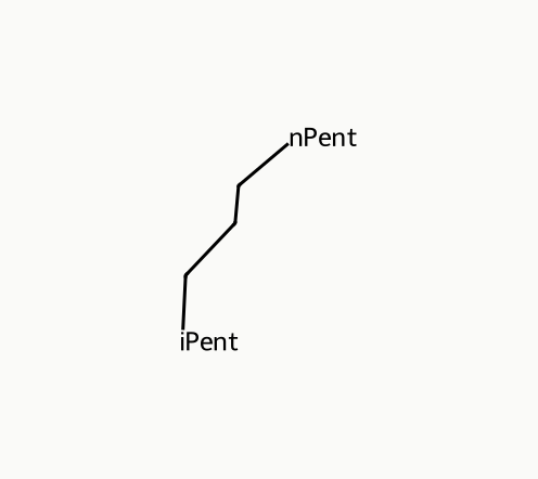 C[CH]CC(C)CCCCCCCC